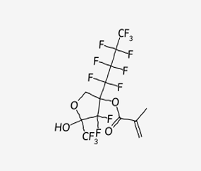 C=C(C)C(=O)OC1(C(F)(F)C(F)(F)C(F)(F)C(F)(F)F)COC(O)(C(F)(F)F)C1(F)F